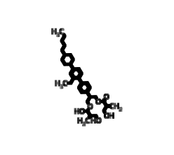 C=C(CO)C(=O)OCC(COC(O)C(=C)CO)c1ccc(-c2ccc(C3CCC(CCCCC)CC3)cc2CC)cc1